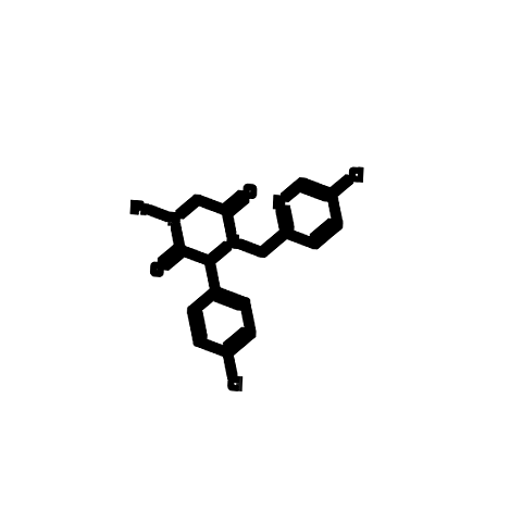 CC(C)N1CC(=O)N(Cc2ccc(Cl)cn2)C(c2ccc(Cl)cc2)C1=O